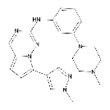 CN1CCN(c2cccc(Nc3ncc4ccc(-c5cnn(C)c5)n4n3)c2)CC1